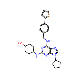 OC1CCC(Nc2nc(NCc3ccc(-c4cccs4)cc3)c3ncn(C4CCCC4)c3n2)CC1